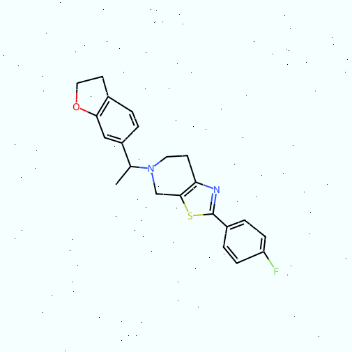 CC(c1ccc2c(c1)OCC2)N1CCc2nc(-c3ccc(F)cc3)sc2C1